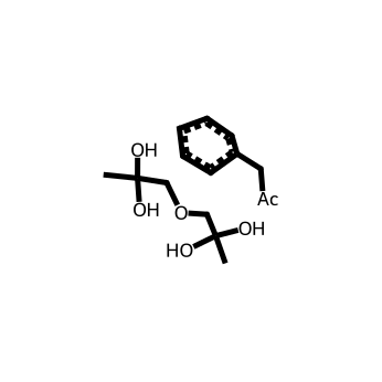 CC(=O)Cc1ccccc1.CC(O)(O)COCC(C)(O)O